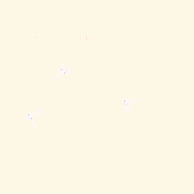 O=C(O)NCc1ncc(Sc2ccc3cccnc3c2)s1